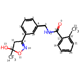 O=C(NCc1cccc(C2=NOC(O)(C(F)(F)F)C2)c1)c1ccccc1C(F)(F)F